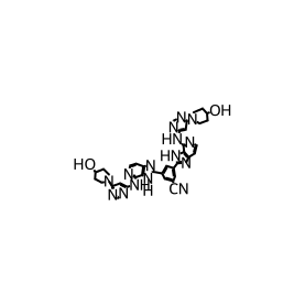 N#Cc1cc(-c2nc3ccnc(Nc4cc(N5CCC(O)CC5)ncn4)c3[nH]2)cc(-c2nc3ccnc(Nc4cc(N5CCC(O)CC5)ncn4)c3[nH]2)c1